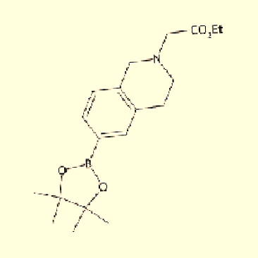 CCOC(=O)CN1CCc2cc(B3OC(C)(C)C(C)(C)O3)ccc2C1